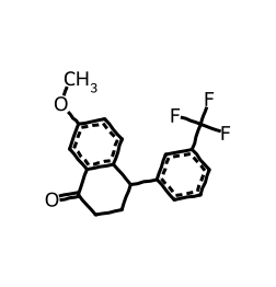 COc1ccc2c(c1)C(=O)CCC2c1cccc(C(F)(F)F)c1